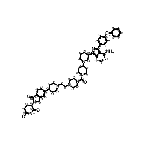 Nc1ncnc2c1c(-c1ccc(Oc3ccccc3)cc1)nn2C1CCCN(C2CCN(C(=O)N3CCN(CCN4CCC(c5ccc6c(c5)CN(C5CCC(=O)NC5=O)C6=O)CC4)CC3)CC2)C1